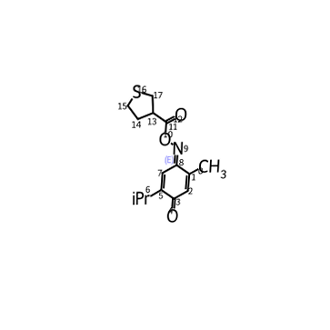 CC1=CC(=O)C(C(C)C)=C/C1=N\OC(=O)C1CCSC1